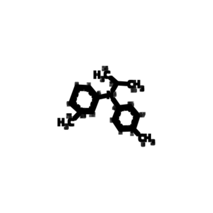 Cc1ccc(N(c2cccc(C)c2)C(C)C)cc1